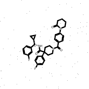 O=C(c1ccc(N2CCCCC2=O)cc1)N1CCC(C(=O)N[C@H](c2cccc(F)c2)C2CC2)(c2ccc(F)cc2)CC1